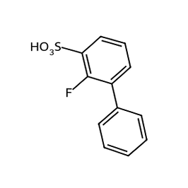 O=S(=O)(O)c1cccc(-c2ccccc2)c1F